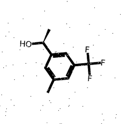 Cc1cc([C@H](C)O)cc(C(F)(F)F)c1